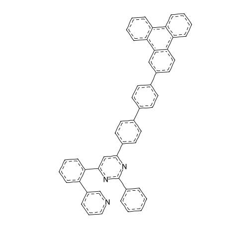 c1ccc(-c2nc(-c3ccc(-c4ccc(-c5ccc6c7ccccc7c7ccccc7c6c5)cc4)cc3)cc(-c3ccccc3-c3cccnc3)n2)cc1